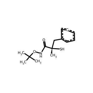 CC(C)(C)ONC(=O)[C@@](C)(S)Cc1ccccc1